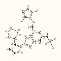 Cc1noc(C)c1CNc1cc(NC(C)(C)C)nc2cc(-c3ccnn3C3CCCCO3)sc12